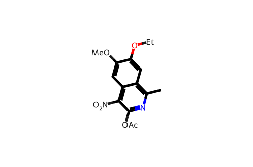 CCOc1cc2c(C)nc(OC(C)=O)c([N+](=O)[O-])c2cc1OC